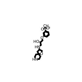 CS(=O)(=O)c1cccc(OC[C@@H](O)CNC2COC3(CCNCC3)C2)c1